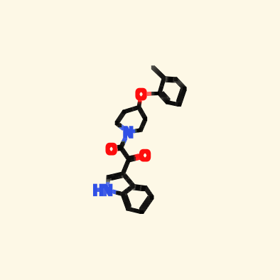 Cc1ccccc1OC1CCN(C(=O)C(=O)c2c[nH]c3ccccc23)CC1